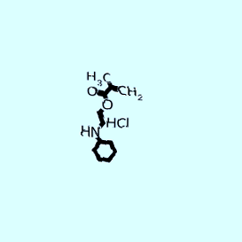 C=C(C)C(=O)OCCNC1CCCCC1.Cl